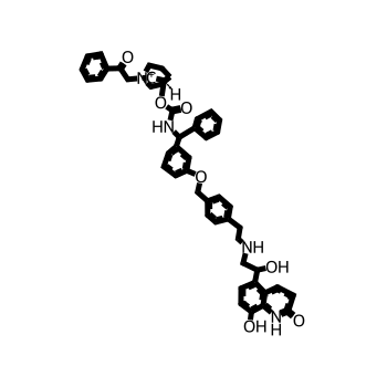 O=C(NC(c1ccccc1)c1cccc(OCc2ccc(CCNCC(O)c3ccc(O)c4[nH]c(=O)ccc34)cc2)c1)O[C@H]1C[N+]2(CC(=O)c3ccccc3)CCC1CC2